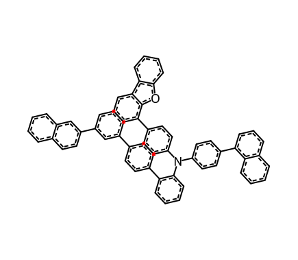 c1cc(-c2ccc(-c3ccccc3N(c3ccc(-c4cccc5ccccc45)cc3)c3ccc(-c4cccc5c4oc4ccccc45)cc3)cc2)cc(-c2ccc3ccccc3c2)c1